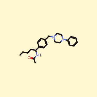 CCCCC(NC(C)=O)c1ccc(CN2CCN(c3ccccc3)CC2)cc1